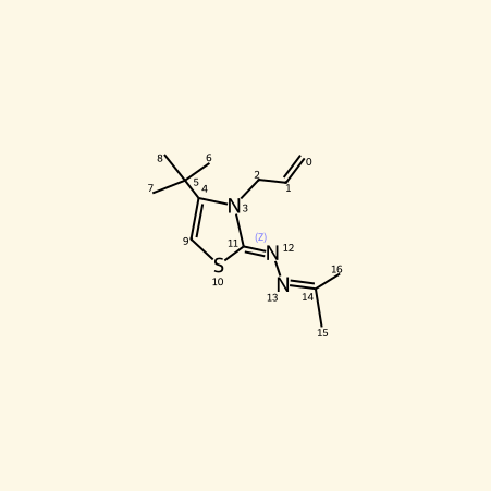 C=CCn1c(C(C)(C)C)cs/c1=N\N=C(C)C